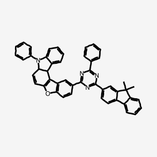 CC1(C)c2ccccc2-c2ccc(-c3nc(-c4ccccc4)nc(-c4ccc5oc6c(c5c4)C4c5ccccc5N(c5ccccc5)C4C=C6)n3)cc21